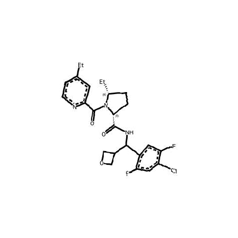 CCc1ccnc(C(=O)N2[C@H](CC)CC[C@@H]2C(=O)NC(c2cc(F)c(Cl)cc2F)C2COC2)c1